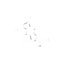 CC(=O)C(O)c1cc(O)c2c(c1)C(=O)c1cc(O)cc(O)c1C2=O